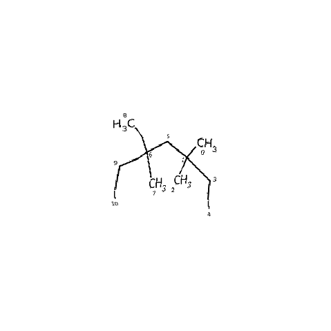 CC(C)(CI)CC(C)(C)CI